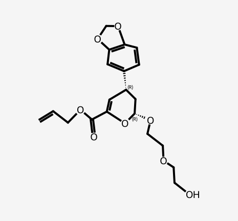 C=CCOC(=O)C1=C[C@H](c2ccc3c(c2)OCO3)C[C@H](OCCOCCO)O1